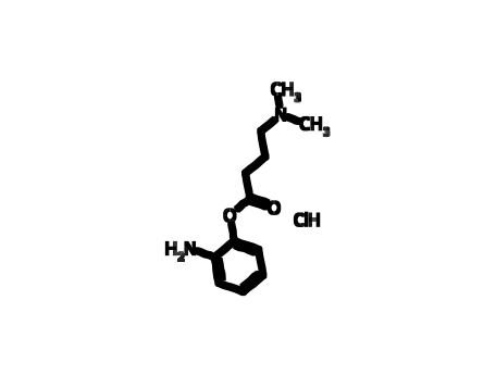 CN(C)CCCC(=O)Oc1ccccc1N.Cl